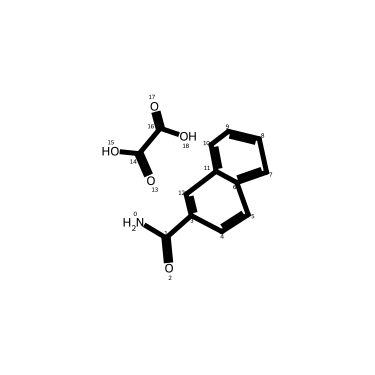 NC(=O)c1ccc2ccccc2c1.O=C(O)C(=O)O